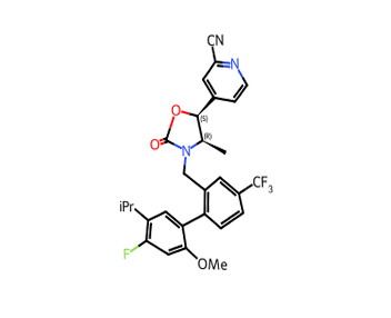 COc1cc(F)c(C(C)C)cc1-c1ccc(C(F)(F)F)cc1CN1C(=O)O[C@@H](c2ccnc(C#N)c2)[C@H]1C